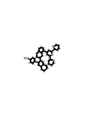 N#Cc1ccc(-c2cc3ccccc3cc2-c2ccc3cccc(-c4cc(-c5ccccn5)nc(-c5ccccn5)c4)c3c2)cc1